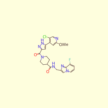 COc1cc(-c2cc(C(=O)N3CCC(C(=O)NCc4cn5cccc(F)c5n4)CC3)n[nH]2)c(Cl)cn1